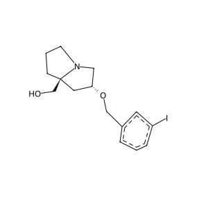 OC[C@@]12CCCN1C[C@H](OCc1cccc(I)c1)C2